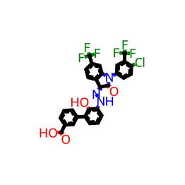 O=C(O)c1cccc(-c2cccc(NN=C3C(=O)N(c4ccc(Cl)c(C(F)(F)F)c4)c4cc(C(F)(F)F)ccc43)c2O)c1